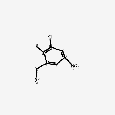 Cc1c(Cl)cc([N+](=O)[O-])cc1CBr